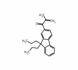 C=C(C)C(=O)c1ccc2c(c1)C(CCC)(CCC)c1ccccc1-2